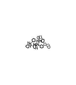 O=C(Nc1cccc(-c2nc3ccccn3c2-c2ccnc(Nc3cccc(OC4CCOC4)c3)n2)c1)c1ccccc1Cl